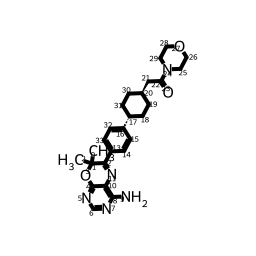 CC1(C)Oc2ncnc(N)c2N=C1c1ccc([C@H]2CC[C@H](CC(=O)N3CCOCC3)CC2)cc1